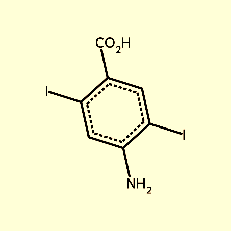 Nc1cc(I)c(C(=O)O)cc1I